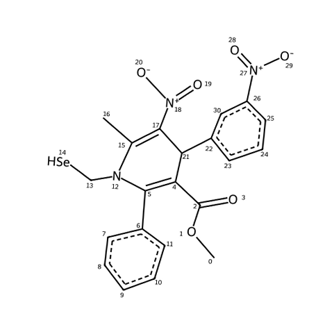 COC(=O)C1=C(c2ccccc2)N(C[SeH])C(C)=C([N+](=O)[O-])C1c1cccc([N+](=O)[O-])c1